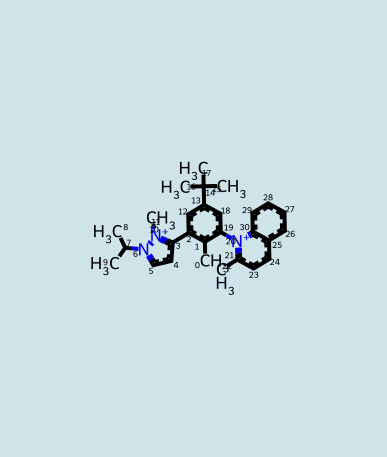 Cc1c(-c2ccn(C(C)C)[n+]2C)cc(C(C)(C)C)cc1-[n+]1c(C)ccc2ccccc21